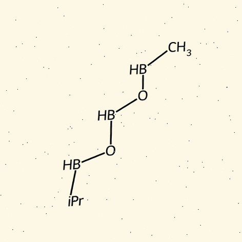 CBOBOBC(C)C